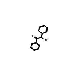 O=C(c1ccccc1)C(O)C1C=CC=CC1